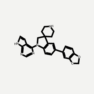 c1nc(N2CC3(CCNCC3)c3cc(-c4ccc5c(c4)OCO5)ccc32)c2cc[nH]c2n1